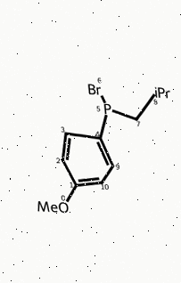 COc1ccc(P(Br)CC(C)C)cc1